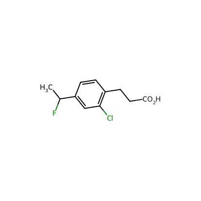 CC(F)c1ccc(CCC(=O)O)c(Cl)c1